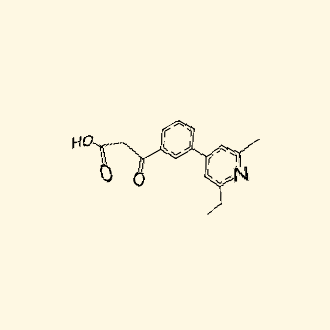 CCc1cc(-c2cccc(C(=O)CC(=O)O)c2)cc(C)n1